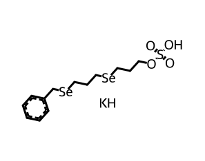 O=S(=O)(O)OCCC[Se]CCC[Se]Cc1ccccc1.[KH]